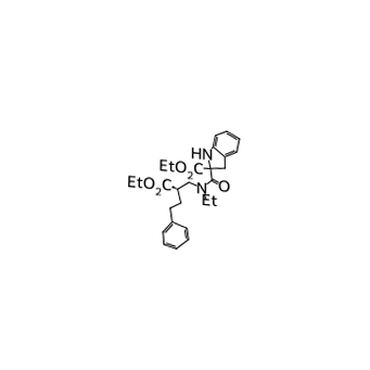 CCOC(=O)[C@H](CCc1ccccc1)CN(CC)C(=O)C1(C(=O)OCC)Cc2ccccc2N1